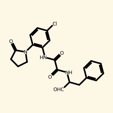 O=CC(Cc1ccccc1)NC(=O)C(=O)Nc1cc(Cl)ccc1N1CCCC1=O